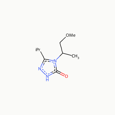 COCC(C)n1c(C(C)C)n[nH]c1=O